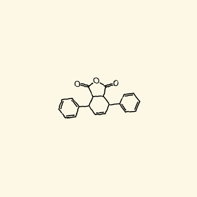 O=C1OC(=O)C2C(c3ccccc3)C=CC(c3ccccc3)C12